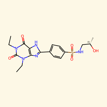 CCn1c(=O)c2[nH]c(-c3ccc(S(=O)(=O)NC[C@H](C)O)cc3)nc2n(CC)c1=O